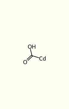 O=[C](O)[Cd]